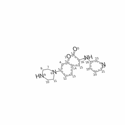 O=c1oc2cc(N3CCNCC3)ccc2cc1Nc1cccnc1